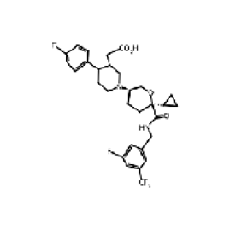 O=C(O)C[C@H]1CN([C@@H]2CC[C@@](C(=O)NCc3cc(F)cc(C(F)(F)F)c3)(C3CC3)OC2)CCC1c1ccc(F)cc1